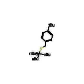 CCC[CH2][Sn]([CH2]CCC)([CH2]CCC)[S]Cc1ccc(C(C)(C)C)cc1